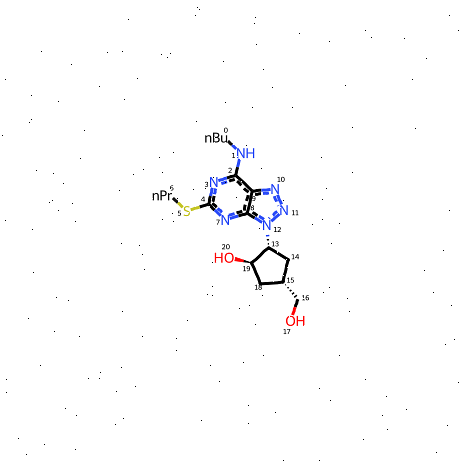 CCCCNc1nc(SCCC)nc2c1nnn2[C@@H]1C[C@H](CO)C[C@H]1O